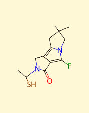 CC(S)N1Cc2c(c(F)n3c2CC(C)(C)C3)C1=O